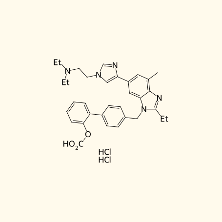 CCc1nc2c(C)cc(-c3cn(CCN(CC)CC)cn3)cc2n1Cc1ccc(-c2ccccc2OC(=O)O)cc1.Cl.Cl